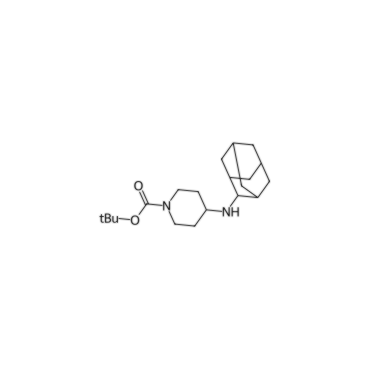 CC(C)(C)OC(=O)N1CCC(NC2C3CC4CC(C3)CC2C4)CC1